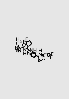 Cc1nonc1C(=O)N[C@H](c1nc2ccc(C(NC(=O)CC3CC(F)(F)C3)C3CC3)cc2[nH]1)[C@@H]1CCCC(F)(F)C1